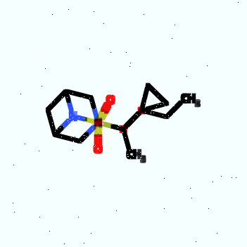 CCCC(C)N1CC2CC(C1)N2S(=O)(=O)CC1CC1